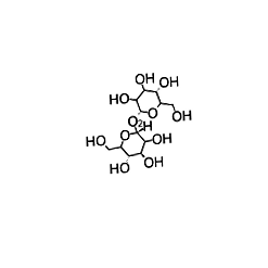 [2H][C@]1(O[C@H]2OC(CO)[C@@H](O)C(O)C2O)OC(CO)[C@@H](O)[C@H](O)C1O